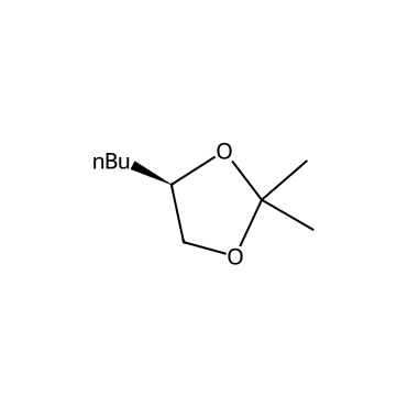 CCCC[C@@H]1COC(C)(C)O1